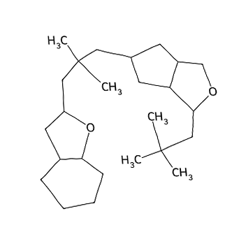 CC(C)(C)CC1OCC2CC(CC(C)(C)CC3CC4CCCCC4O3)CC21